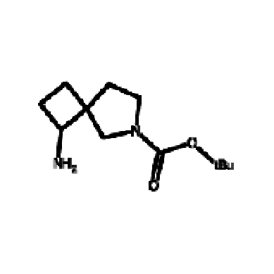 CC(C)(C)OC(=O)N1CCC2(CCC2N)C1